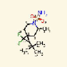 CC1CC2(CCN1S(N)(=O)=O)C(C(C)(C)C)C2(F)F